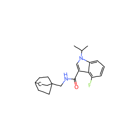 CC(C)n1cc(C(=O)NCC23CCC(CC2)CC3)c2c(F)cccc21